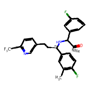 CNC(=O)C(N[C@H](CCc1ccc(C(F)(F)F)nc1)c1ccc(F)c(C)c1)c1cccc(F)c1